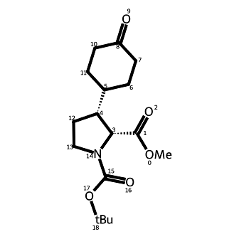 COC(=O)[C@H]1[C@@H](C2CCC(=O)CC2)CCN1C(=O)OC(C)(C)C